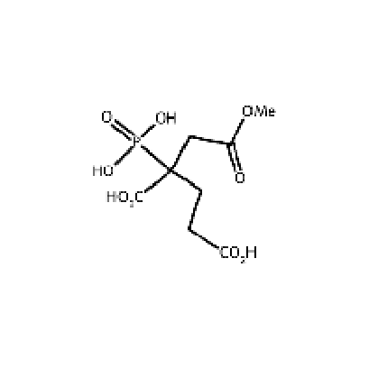 COC(=O)CC(CCC(=O)O)(C(=O)O)P(=O)(O)O